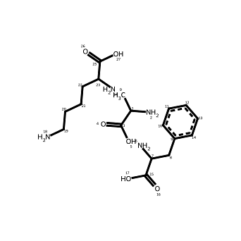 CC(N)C(=O)O.NC(Cc1ccccc1)C(=O)O.NCCCCC(N)C(=O)O